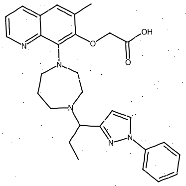 CCC(c1ccn(-c2ccccc2)n1)N1CCCN(c2c(OCC(=O)O)c(C)cc3cccnc23)CC1